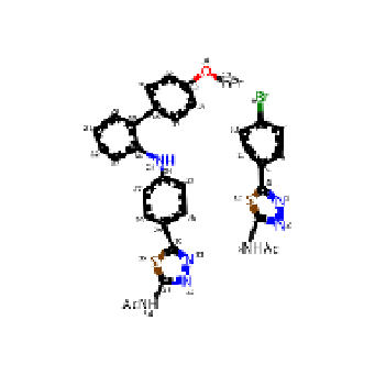 CC(=O)Nc1nnc(-c2ccc(Br)cc2)s1.CCCOc1ccc(-c2ccccc2Nc2ccc(-c3nnc(NC(C)=O)s3)cc2)cc1